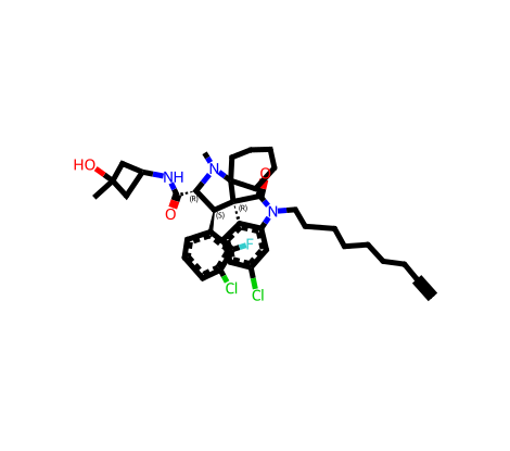 C#CCCCCCCCN1C(=O)[C@@]2(c3ccc(Cl)cc31)[C@@H](c1cccc(Cl)c1F)[C@H](C(=O)NC1CC(C)(O)C1)N(C)C21CCCCC1